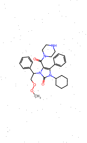 COOCC(c1ccccc1)n1c(C(=O)N2CCNCC2)c(-c2ccccc2)n(C2CCCCC2)c1=O